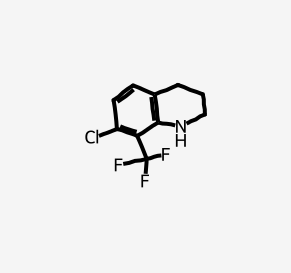 FC(F)(F)c1c(Cl)ccc2c1NCCC2